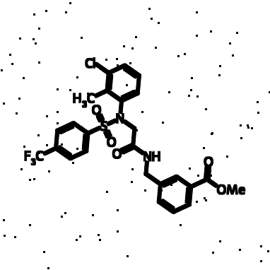 COC(=O)c1cccc(CNC(=O)CN(c2cccc(Cl)c2C)S(=O)(=O)c2ccc(C(F)(F)F)cc2)c1